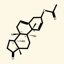 CC(=O)OC1C=C[C@@]2(C)C(=CC[C@@H]3[C@@H]2CC[C@]2(C)C(=O)CC[C@@H]32)C1